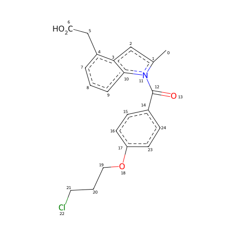 Cc1cc2c(CC(=O)O)cccc2n1C(=O)c1ccc(OCCCCl)cc1